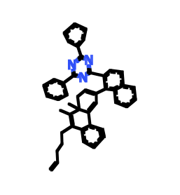 C=CCCCC1=C(C)C2(C)CC=C(c3c(-c4nc(-c5ccccc5)nc(-c5ccccc5)n4)ccc4ccccc34)C=C2c2c#cccc21